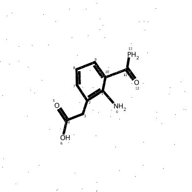 Nc1c(CC(=O)O)cccc1C(=O)P